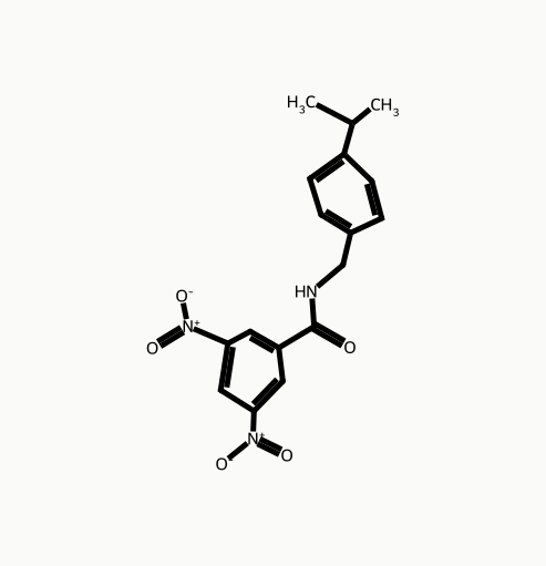 CC(C)c1ccc(CNC(=O)c2cc([N+](=O)[O-])cc([N+](=O)[O-])c2)cc1